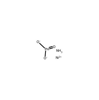 N.O=[PH]([O-])[O-].[Ni+2]